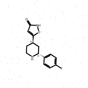 O=c1cc([C@@H]2CCN[C@@H](c3ccc(F)cc3)C2)o[nH]1